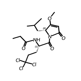 CCC(=O)N[C@@H](CCC(Cl)(Cl)Cl)C(=O)N1C(=O)C=C(OC)[C@H]1CC(C)C